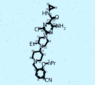 CCCOc1cc(C#N)ccc1CN1CCC(N2CCN(c3nc(N)c(C(=O)NC4CC4)nc3Cl)C[C@@H]2CC)CC1